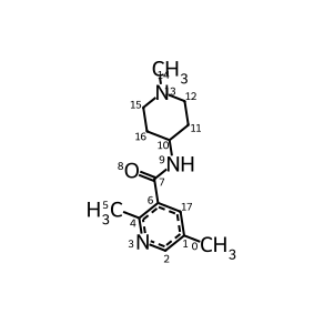 Cc1cnc(C)c(C(=O)NC2CCN(C)CC2)c1